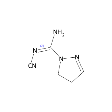 N#C/N=C(/N)N1CCC=N1